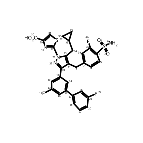 NS(=O)(=O)c1ccc(Cc2c(-c3cc(F)cc(-c4cccc(F)c4)c3)nn(-c3nc(C(=O)O)cs3)c2CC2CC2)cc1F